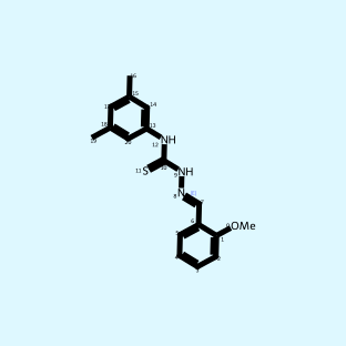 COc1ccccc1/C=N/NC(=S)Nc1cc(C)cc(C)c1